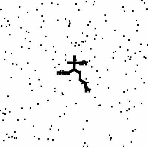 [CH2]CCC(C)(C)C(CCCCCC)CCCC(C)C